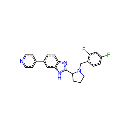 Fc1ccc(CN2CCCC2c2nc3ccc(-c4ccncc4)cc3[nH]2)c(F)c1